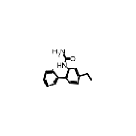 CCc1ccc(-c2[c]cccc2)c(NC(N)=O)c1